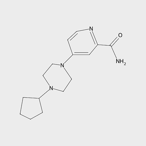 NC(=O)c1cc(N2CCN(C3CCCC3)CC2)ccn1